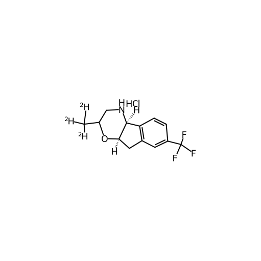 Cl.[2H]C([2H])([2H])C1CN[C@H]2c3ccc(C(F)(F)F)cc3C[C@H]2O1